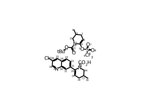 CC1CC=C(OS(=O)(=O)C(F)(F)F)N(C(=O)OC(C)(C)C)C1.CC1CC=C(c2ccc3cc(Cl)cnc3c2)N(C(=O)O)C1